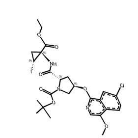 CCOC(=O)[C@@]1(NC(=O)[C@@H]2C[C@@H](Oc3ncc(OC)c4ccc(Cl)cc34)CN2C(=O)OC(C)(C)C)C[C@H]1I